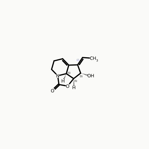 C/C=C1/C2=CCCN3C(=O)O[C@H]([C@H]1O)[C@H]23